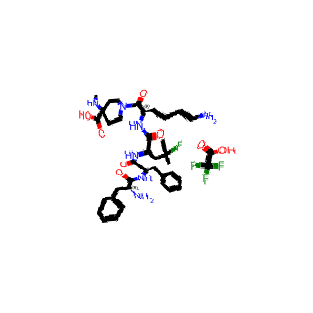 CNC1(C(=O)O)CCN(C(=O)[C@@H](CCCCN)NC(=O)C(CC(C)(C)F)NC(=O)[C@@H](Cc2ccccc2)NC(=O)[C@H](N)Cc2ccccc2)CC1.O=C(O)C(F)(F)F